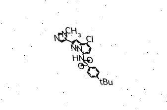 Cn1cncc1-c1cc2c(Cl)ccc(NS(=O)(=O)c3ccc(C(C)(C)C)cc3)n2n1